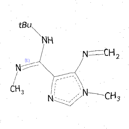 C=Nc1c(/C(=N\C)NC(C)(C)C)ncn1C